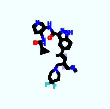 C=N/C=C(\C=C(/C)c1ccc2[nH]nc(C(=O)Nc3cnccc3NC(=O)C3CC3)c2c1)CN1CCC(F)(F)CC1